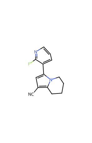 N#Cc1cc(-c2cccnc2F)n2c1CCCC2